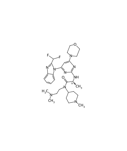 C[C@H](Nc1nc(N2CCOCC2)cc(-n2c(C(F)F)nc3ccccc32)n1)C(=O)N(CCN(C)C)C1CCN(C)CC1